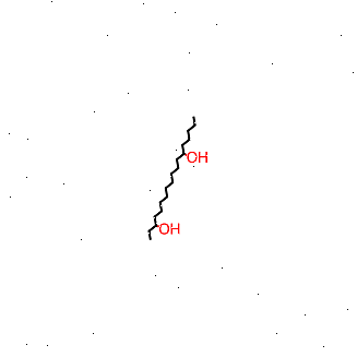 CCCCCC(O)CCCCCCCCCC(O)CC